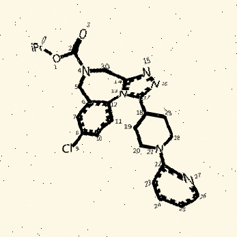 CC(C)OC(=O)N1Cc2cc(Cl)ccc2-n2c(nnc2C2CCN(c3ccccn3)CC2)C1